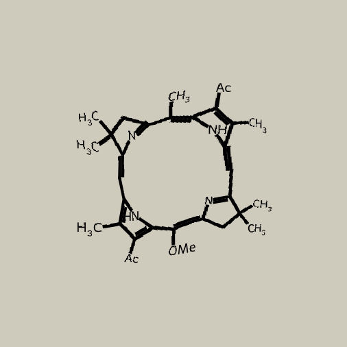 COc1c2nc(cc3[nH]c(c(C)c4nc(cc5[nH]c1c(C(C)=O)c5C)C(C)(C)C4)c(C(C)=O)c3C)C(C)(C)C2